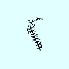 O=P(O)(OC[CH2][Na])OC(F)(F)C(F)(F)C(F)(F)C(F)(F)C(F)(F)C(F)(F)C(F)(F)C(F)(F)F